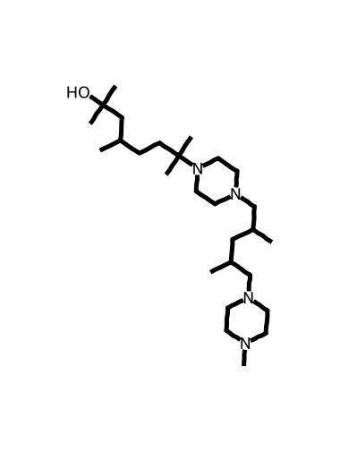 CC(CC(C)CN1CCN(C(C)(C)CCC(C)CC(C)(C)O)CC1)CN1CCN(C)CC1